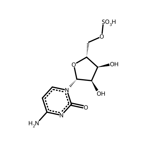 Nc1ccn([C@@H]2O[C@H](COS(=O)(=O)O)[C@@H](O)[C@H]2O)c(=O)n1